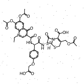 CCn1cc(C(=O)NC(C(=O)N[C@@H]2C(=O)N3C(C(=O)O)=C(COC(C)=O)CS[C@@H]23)c2ccc(OCC(=O)O)cc2)c(=O)c2cc(OC(C)=O)c(OC(C)=O)cc21